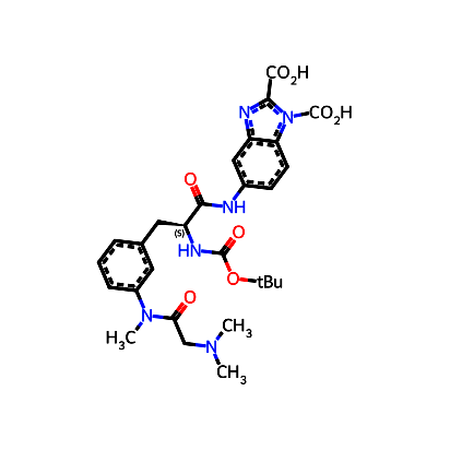 CN(C)CC(=O)N(C)c1cccc(C[C@H](NC(=O)OC(C)(C)C)C(=O)Nc2ccc3c(c2)nc(C(=O)O)n3C(=O)O)c1